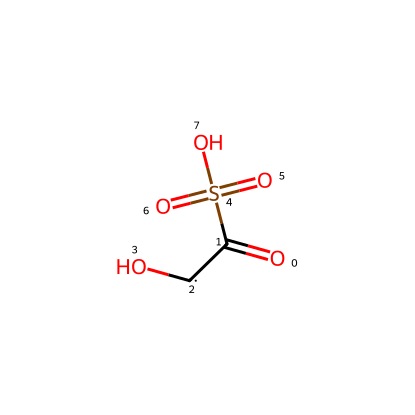 O=C([CH]O)S(=O)(=O)O